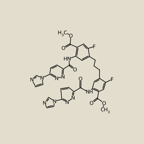 COC(=O)c1cc(F)c(CCCc2cc(NC(=O)c3ccc(-n4ccnc4)nn3)c(C(=O)OC)cc2F)cc1NC(=O)c1ccc(-n2ccnc2)nn1